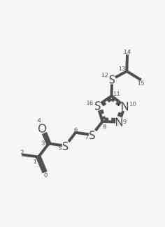 C=C(C)C(=O)SCSc1nnc(SC(C)C)s1